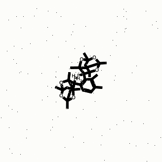 Cc1ccc(C2(P)C3(C)CC4(C)OC(C)(CC2(C)O4)O3)c(C2(P)C3(C)CC4(C)OC(C)(CC2(C)O4)O3)c1C